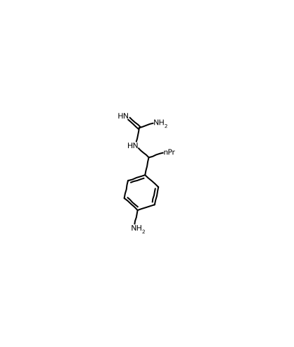 CCCC(NC(=N)N)c1ccc(N)cc1